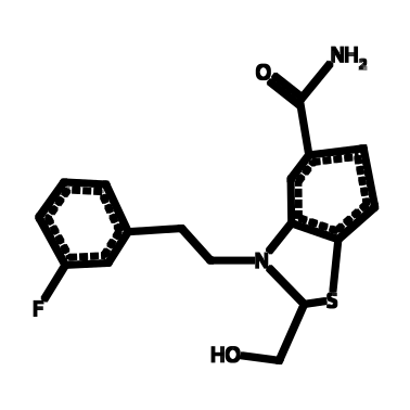 NC(=O)c1ccc2c(c1)N(CCc1cccc(F)c1)C(CO)S2